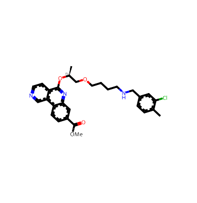 COC(=O)c1ccc2c(c1)nc(O[C@@H](C)COCCCCNCc1ccc(C)c(Cl)c1)c1ccncc12